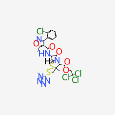 Cc1onc(-c2ccccc2Cl)c1C(=O)NC1C(=O)N2C(C(=O)OCC(Cl)(Cl)Cl)C(C)(CSc3nnnn3C)S[C@@H]12